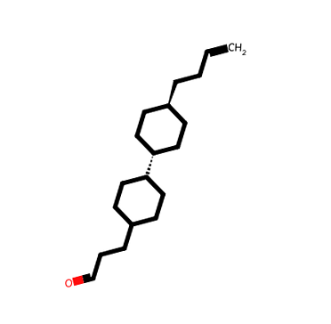 C=CCC[C@H]1CC[C@H](C2CCC(CCC=O)CC2)CC1